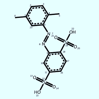 Cc1[c]cc(C)c(N=Nc2cc(S(=O)(=O)O)ccc2S(=O)(=O)O)c1